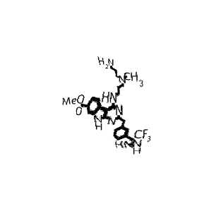 COC(=O)c1ccc2c(c1)[nH]c1nc(Cc3cccc(C4(C(F)(F)F)NN4)c3)nc(NCCCN(C)CCCN)c12